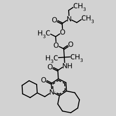 CCN(CC)C(=O)OC(C)OC(=O)C(C)(C)NC(=O)c1cc2c(n(CC3CCCCC3)c1=O)CCCCCC2